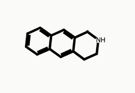 [C]1NCCc2cc3ccccc3cc21